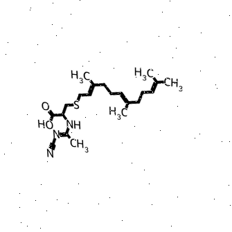 CC(C)=CCCC(C)=CCCC(C)=CCSCC(NC(C)=NC#N)C(=O)O